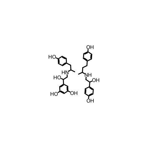 CC(CCc1ccc(O)cc1)NCC(O)c1ccc(O)cc1.CC(Cc1ccc(O)cc1)NCC(O)c1cc(O)cc(O)c1